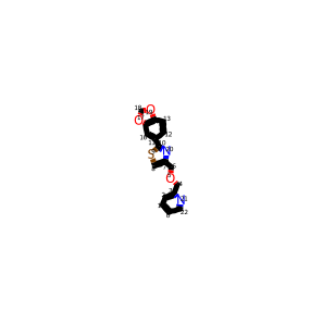 c1ccc(COCc2csc(-c3ccc4c(c3)OCO4)n2)nc1